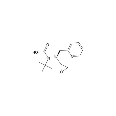 CC(C)(C)N(C(=O)O)[C@@H](Cc1ccccn1)C1CO1